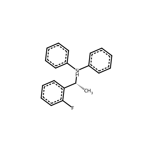 C[C@H](c1ccccc1F)[SiH](c1ccccc1)c1ccccc1